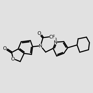 O=C1OCc2cc(N(Cc3ccc(C4CCCCC4)cn3)C(=O)C(F)(F)F)ccc21